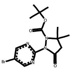 CC(C)(C)OC(=O)N1N(c2ncc(Br)cn2)C(=O)CC1(C)C